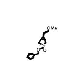 CO/C=C/C1C2CN(C(=O)OCc3ccccc3)CC12